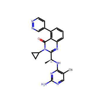 C[C@H](Nc1nc(N)ncc1C#N)c1nc2cccc(-c3ccnnc3)c2c(=O)n1C1CC1